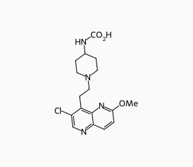 COc1ccc2ncc(Cl)c(CCN3CCC(NC(=O)O)CC3)c2n1